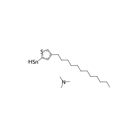 CCCCCCCCCCCCc1cs[c]([SnH])c1.CN(C)C